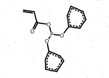 C=CC(=O)OP(Oc1ccccc1)Oc1ccccc1